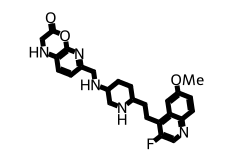 COc1ccc2ncc(F)c(CCC3CCC(NCc4ccc5c(n4)OC(=O)CN5)CN3)c2c1